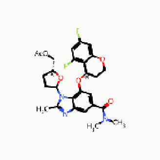 CC(=O)OC[C@H]1CCC(n2c(C)nc3cc(C(=O)N(C)C)cc(O[C@@H]4CCOc5cc(F)cc(F)c54)c32)O1